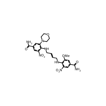 COc1cc(C(N)=O)cc([N+](=O)[O-])c1NCC=CCNc1c(N2CCOCC2)cc(C(N)=O)cc1[N+](=O)[O-]